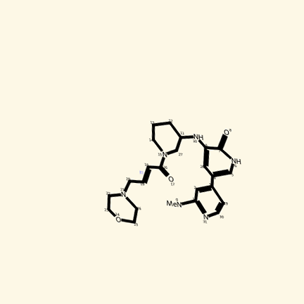 CNc1cc(-c2c[nH]c(=O)c(NC3CCCN(C(=O)/C=C/CN4CCOCC4)C3)c2)ccn1